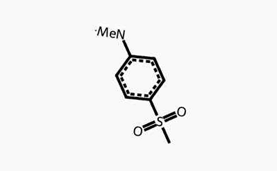 C[N]c1ccc(S(C)(=O)=O)cc1